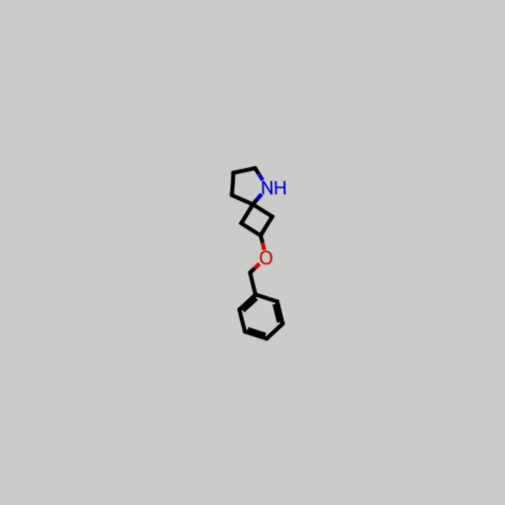 c1ccc(COC2CC3(CCCN3)C2)cc1